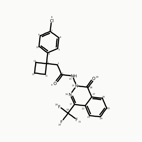 O=C(CC1(c2ccc(Cl)cc2)CCC1)Nn1nc(C(F)(F)F)c2ccccc2c1=O